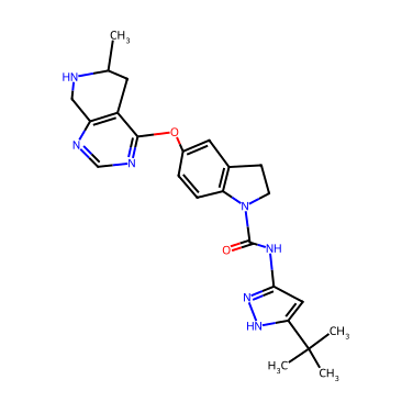 CC1Cc2c(ncnc2Oc2ccc3c(c2)CCN3C(=O)Nc2cc(C(C)(C)C)[nH]n2)CN1